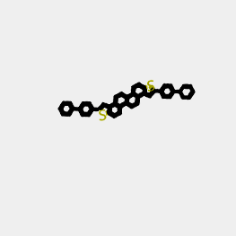 C1=CCC(c2ccc(-c3cc4c(ccc5c4ccc4c6ccc7sc(-c8ccc(-c9ccccc9)cc8)cc7c6ccc54)s3)cc2)C=C1